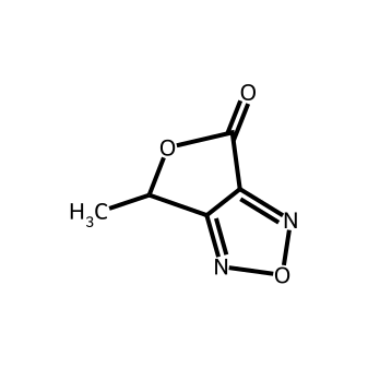 CC1OC(=O)c2nonc21